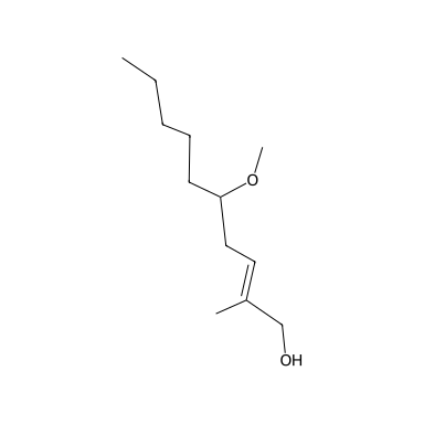 CCCCCC(C/C=C(\C)CO)OC